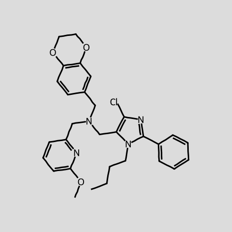 CCCCn1c(-c2ccccc2)nc(Cl)c1CN(Cc1ccc2c(c1)OCCO2)Cc1cccc(OC)n1